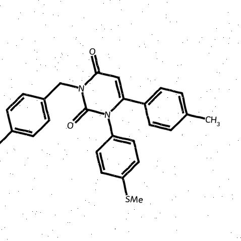 CSc1ccc(-n2c(-c3ccc(C)cc3)cc(=O)n(Cc3ccc(F)cc3)c2=O)cc1